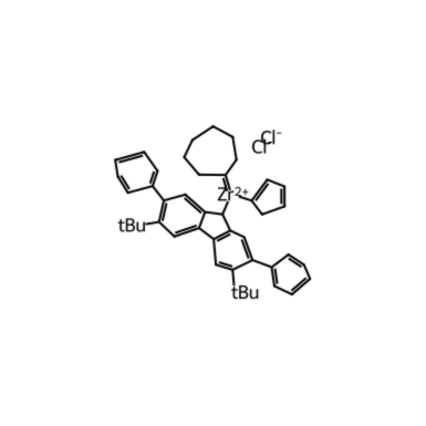 CC(C)(C)c1cc2c(cc1-c1ccccc1)[CH]([Zr+2]([C]1=CC=CC1)=[C]1CCCCCC1)c1cc(-c3ccccc3)c(C(C)(C)C)cc1-2.[Cl-].[Cl-]